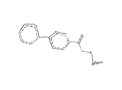 CCCCCSCC(=O)c1ccc(-c2ccccc2)cc1